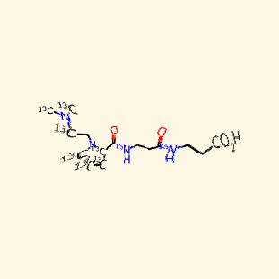 [13CH3]N([13CH3])[13CH2]CN1[13CH2][13CH2][13CH2][13CH]1C(=O)[15NH]CCC(=O)[15NH]CCC(=O)O